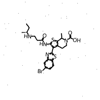 CC[C@H](C)NCCC(=O)Nc1sc2c(c1-c1nc3cc(Br)ccc3s1)CCN(C(=O)O)C2C